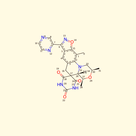 Cc1c2c(cc3c(-c4cnccn4)noc13)CC1(C(=O)NC(=O)NC1=O)[C@H]1[C@H](C)O[C@H](C)CN21